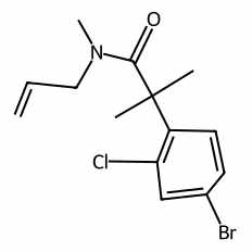 C=CCN(C)C(=O)C(C)(C)c1ccc(Br)cc1Cl